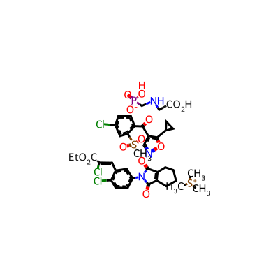 CCOC(=O)/C(Cl)=C/c1cc(N2C(=O)C3=C(CCCC3)C2=O)ccc1Cl.CS(=O)(=O)c1cc(Cl)ccc1C(=O)c1cnoc1C1CC1.C[S+](C)C.O=C(O)CNCP(=O)([O-])O